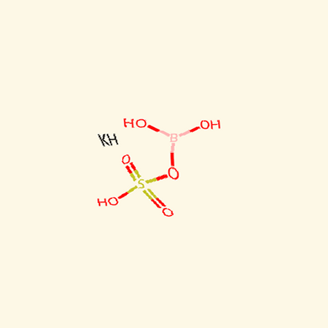 O=S(=O)(O)OB(O)O.[KH]